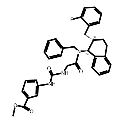 COC(=O)c1cccc(NC(=O)NCC(=O)N(Cc2ccccc2)[C@@H]2c3ccccc3CC[C@H]2Cc2ccccc2F)c1